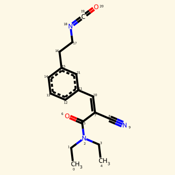 CCN(CC)C(=O)C(C#N)=Cc1cccc(CCN=C=O)c1